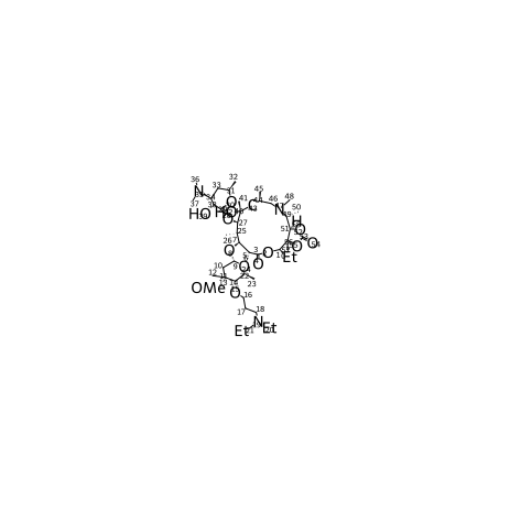 CC[C@H]1OC(=O)[C@H](C)[C@@H](O[C@H]2C[C@@](C)(OC)[C@@H](OCCCN(CC)CC)[C@H](C)O2)[C@H](C)[C@@H](O[C@@H]2O[C@H](C)C[C@H](N(C)C)[C@H]2O)[C@](C)(O)C[C@@H](C)CN(C)[C@H](C)[C@H]2OC(=O)O[C@@]21C